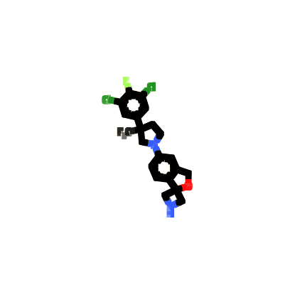 Fc1c(Cl)cc(C2(C(F)(F)F)CCN(c3ccc4c(c3)COC43CNC3)C2)cc1Cl